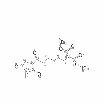 CC(C)(C)OC(=O)N(CCCCCC(=O)C1CC(=O)NC1=O)C(=O)OC(C)(C)C